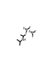 CC(C)NC(C)C.FB(F)F.FB(F)F